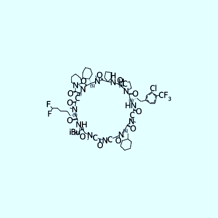 CC[C@H](C)[C@@H]1NC(=O)[C@H](CCCCC(F)F)N(C)C(=O)C[C@@H](C(=O)N2CCCCC2)N(C)C(=O)[C@H](C2CCCCC2)N(C)C(=O)C2(CCCC2)NC(=O)[C@@H]2CCCN2C(=O)[C@H](CCc2ccc(C(F)(F)F)c(Cl)c2)NC(=O)CN(C)C(=O)[C@H](CC2CCCCC2)N(C)C(=O)CN(C)C(=O)CN(C)C1=O